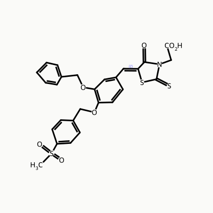 CS(=O)(=O)c1ccc(COc2ccc(/C=C3\SC(=S)N(CC(=O)O)C3=O)cc2OCc2ccccc2)cc1